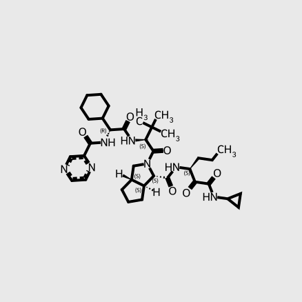 CCC[C@H](NC(=O)[C@@H]1[C@H]2CCC[C@@H]2CN1C(=O)[C@@H](NC(=O)[C@H](NC(=O)c1cnccn1)C1CCCCC1)C(C)(C)C)C(=O)C(=O)NC1CC1